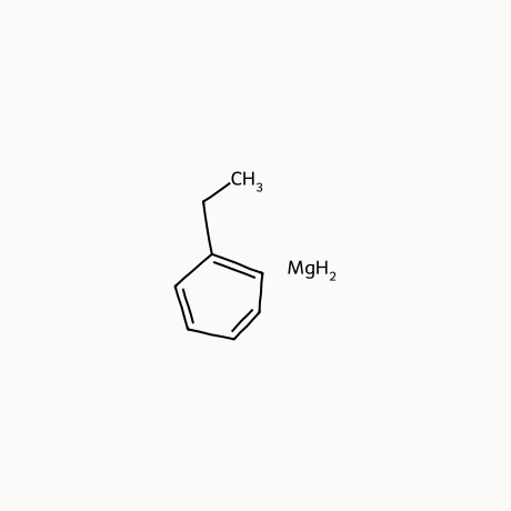 CCc1ccccc1.[MgH2]